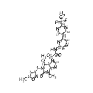 Cc1cc(Cn2c(=O)c3c(ncn3[C@@H](C)C(=O)Nc3cncc(-c4cnc(C(C)(F)F)nc4)n3)n(C)c2=O)no1